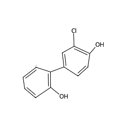 Oc1ccc[c]c1-c1ccc(O)c(Cl)c1